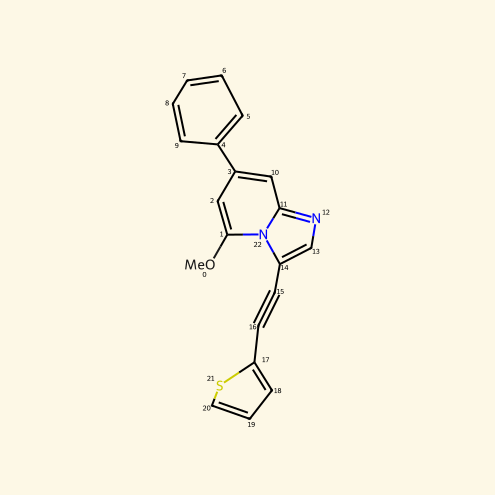 COc1cc(-c2ccccc2)cc2ncc(C#Cc3cccs3)n12